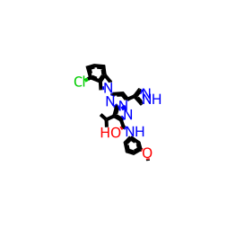 COc1cccc(NC(O)c2nn3c(-c4cn[nH]c4)cc(N4Cc5cccc(Cl)c5C4)nc3c2C(C)C)c1